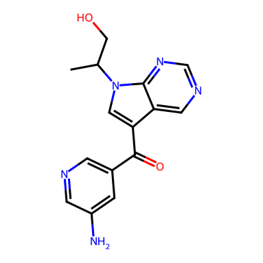 CC(CO)n1cc(C(=O)c2cncc(N)c2)c2cncnc21